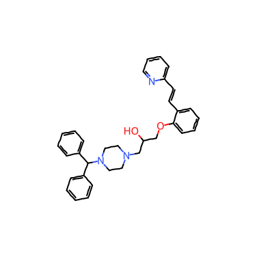 OC(COc1ccccc1C=Cc1ccccn1)CN1CCN(C(c2ccccc2)c2ccccc2)CC1